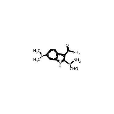 CN(C)c1ccc2c(C(N)=O)c(N(N)C=O)[nH]c2c1